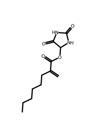 C=C(CCCCCC)C(=O)OC1NC(=O)NC1=O